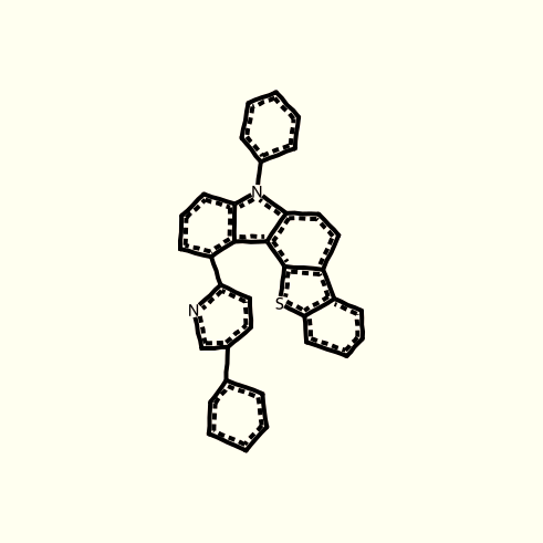 c1ccc(-c2ccc(-c3cccc4c3c3c5sc6ccccc6c5ccc3n4-c3ccccc3)nc2)cc1